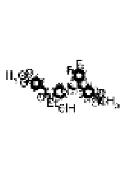 CCN(C(=O)Cc1ccc(S(C)(=O)=O)cc1)C1CCN(CC[C@H](c2ccc(S(C)(=O)=O)cc2)c2ccc(F)c(F)c2)CC1.Cl